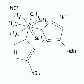 CCCCC1=C[CH]([Zr]([CH3])([CH3])([CH3])([CH3])(=[SiH2])(=[SiH2])[CH]2C=CC(CCCC)=C2)C=C1.Cl.Cl